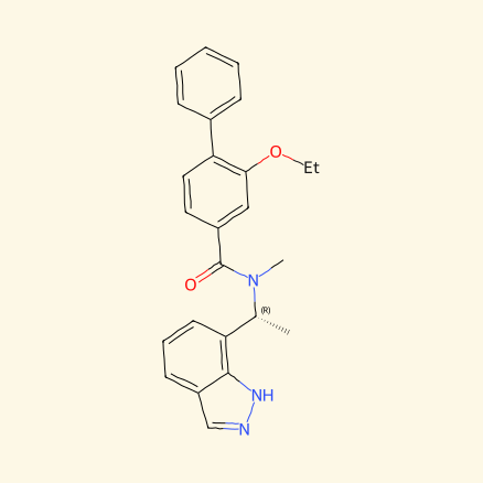 CCOc1cc(C(=O)N(C)[C@H](C)c2cccc3cn[nH]c23)ccc1-c1ccccc1